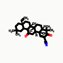 C=C[C@]12CCC(C)(C)CC1C1C(=O)C[C@@H]3[C@@]4(C)C=C(C#N)C(=O)C(C)(C)[C@@H]4CC[C@@]3(C)[C@]1(C)CC2